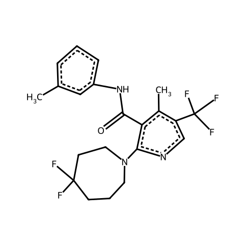 Cc1cccc(NC(=O)c2c(N3CCCC(F)(F)CC3)ncc(C(F)(F)F)c2C)c1